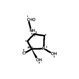 NC=O.ON1CCC[C@@]1(O)Cl